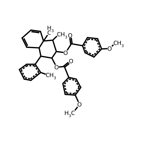 COc1ccc(C(=O)OC2C(OC(=O)c3ccc(OC)cc3)C(C)C3(C)C=CC=CC3C2c2ccccc2C)cc1